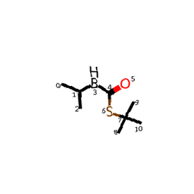 CC(C)BC(=O)SC(C)(C)C